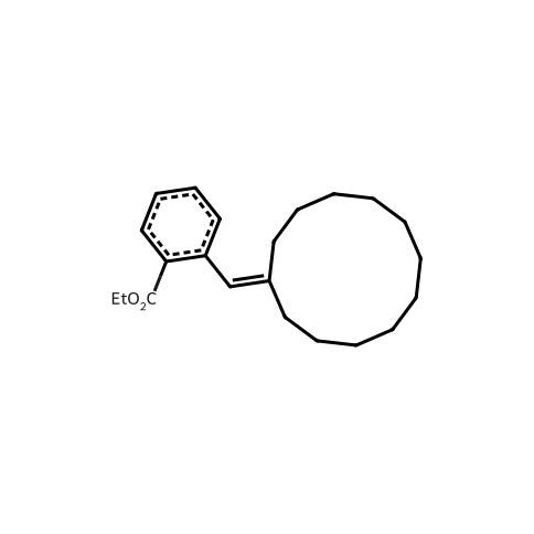 CCOC(=O)c1ccccc1C=C1CCCCCCCCCCC1